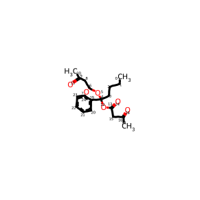 CCCCC(OC(=O)CC(C)=O)(OC(=O)CC(C)=O)c1ccccc1